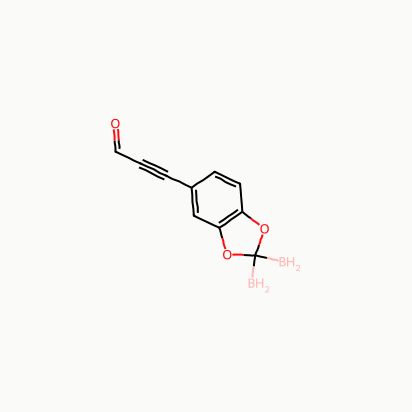 BC1(B)Oc2ccc(C#CC=O)cc2O1